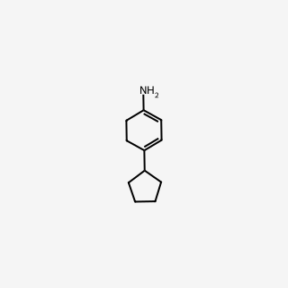 NC1=CC=C(C2CCCC2)CC1